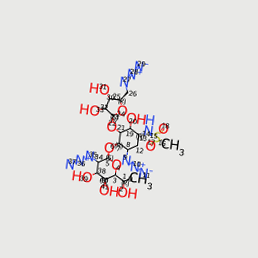 C[C@@H](O)C1O[C@H](O[C@@H]2C(N=[N+]=[N-])C[C@@H](NS(C)(=O)=O)C(O)C2O[C@@H]2O[C@H](CN=[N+]=[N-])C(O)C2O)C(N=[N+]=[N-])C(O)[C@@H]1O